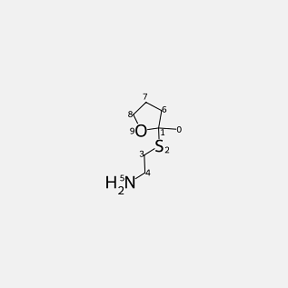 CC1(SCCN)CCCO1